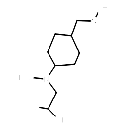 CNCC1CCC(N(C)CC(C)C)CC1